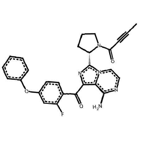 CC#CC(=O)N1CCC[C@H]1c1nc(C(=O)c2ccc(Oc3ccccc3)cc2F)c2c(N)nccn12